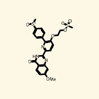 COc1ccc2c(=O)[nH]c(-c3ccc(OCCOS(C)(=O)=O)c(-c4ccc([S+](C)[O-])cc4)n3)nc2c1